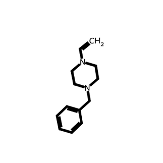 C=CN1CCN(Cc2ccccc2)CC1